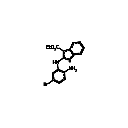 CCOC(=O)c1c(Nc2cc(Br)ccc2N)sc2ccccc12